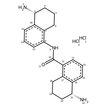 Cl.Cl.N[C@@H]1CCCc2c(NC(=O)c3cccc4c3CCC[C@H]4N)cccc21